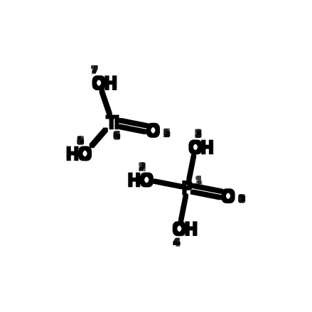 O=P(O)(O)O.[O]=[Ti]([OH])[OH]